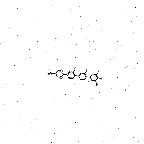 CCCC1COC(c2ccc(-c3ccc(C4C=C(F)C(F)=C(F)C4)c(F)c3)c(F)c2)OC1